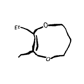 CCC1=C(C)OCCCO1